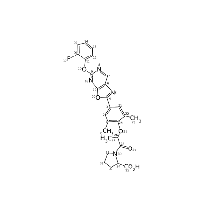 Cc1cc(-c2nc3cnc(Oc4ccccc4F)nc3o2)cc(C)c1OC(C)C(=O)N1CCCC1C(=O)O